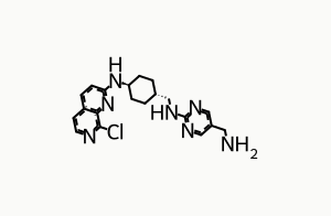 NCc1cnc(NC[C@H]2CC[C@H](Nc3ccc4ccnc(Cl)c4n3)CC2)nc1